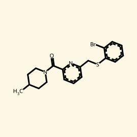 CC1CCN(C(=O)c2cccc(CSc3ccccc3Br)n2)CC1